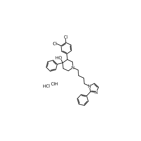 Cl.Cl.OC1(c2ccccc2)CCN(CCCCn2ccnc2-c2ccccc2)CC1c1ccc(Cl)c(Cl)c1